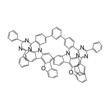 c1ccc(-c2nc(-c3ccccc3)nc(-c3ccc(-c4cccc(-c5ccc(-c6nc(-c7ccccc7)nc(-c7ccccc7)n6)c(-n6c7ccccc7c7c8oc9ccccc9c8ccc76)c5)c4)cc3-n3c4ccccc4c4c5oc6ccccc6c5ccc43)n2)cc1